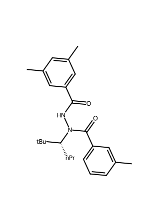 CCC[C@@H](N(NC(=O)c1cc(C)cc(C)c1)C(=O)c1cccc(C)c1)C(C)(C)C